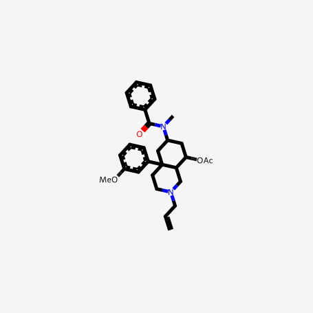 C=CCN1CCC2(c3cccc(OC)c3)CC(N(C)C(=O)c3ccccc3)CC(OC(C)=O)C2C1